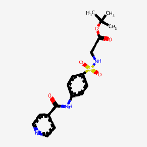 CC(C)(C)OC(=O)CNS(=O)(=O)c1ccc(NC(=O)c2ccncc2)cc1